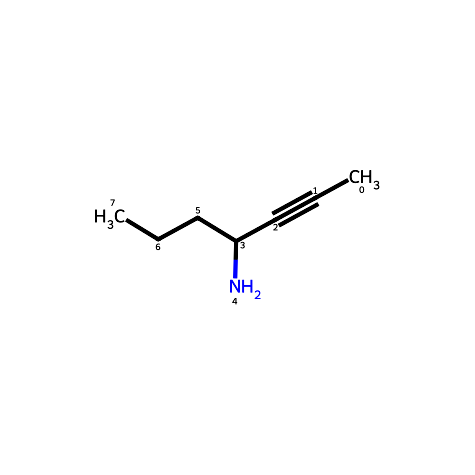 CC#CC(N)CCC